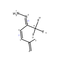 C=C(C)/C=C\C(=N/N)C(F)(F)F